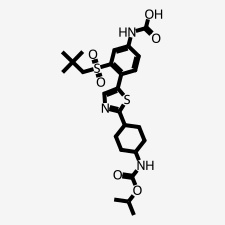 CC(C)OC(=O)NC1CCC(c2ncc(-c3ccc(NC(=O)O)cc3S(=O)(=O)CC(C)(C)C)s2)CC1